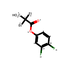 CCC(CC)(C(=O)O)C(=O)Oc1ccc(F)c(F)c1